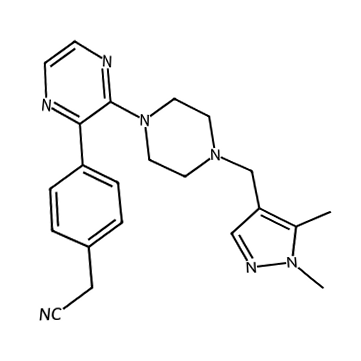 Cc1c(CN2CCN(c3nccnc3-c3ccc(CC#N)cc3)CC2)cnn1C